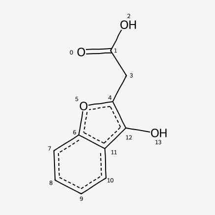 O=C(O)Cc1oc2ccccc2c1O